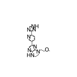 COCCN1CCNc2ncc(-c3ccc(-c4nc[nH]n4)nc3)nc21